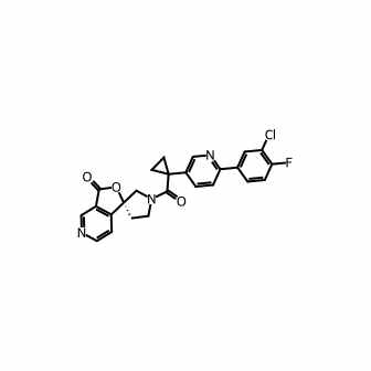 O=C1O[C@]2(CCN(C(=O)C3(c4ccc(-c5ccc(F)c(Cl)c5)nc4)CC3)C2)c2ccncc21